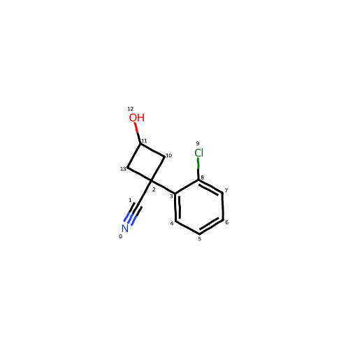 N#CC1(c2ccccc2Cl)CC(O)C1